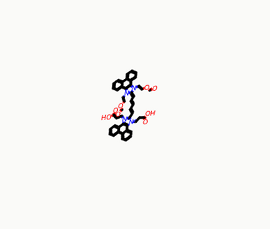 O=COCCN1C(=C/C=C/C=C/c2n(CCC(=O)O)c3c4ccccc4c4ccccc4c3[n+]2CCC(=O)O)N(CCOC=O)c2c1c1ccccc1c1ccccc21